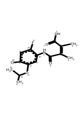 CC(C(=O)O)=C(C)C(=O)Nc1cc(OC(C)C)c(Cl)cc1F